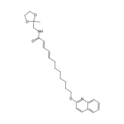 CC1(CNC(=O)C=CC=CCCCCCCCOc2ccc3ccccc3n2)OCCO1